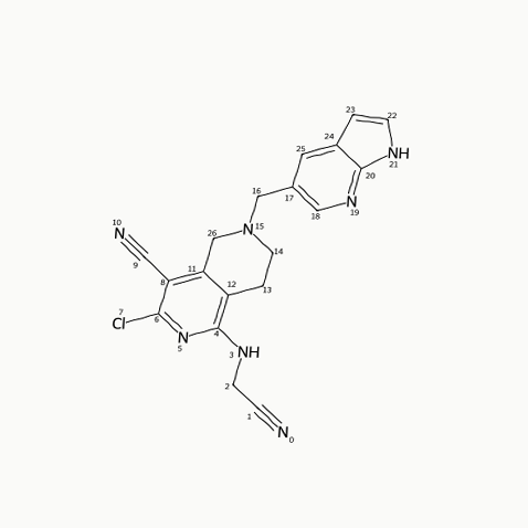 N#CCNc1nc(Cl)c(C#N)c2c1CCN(Cc1cnc3[nH]ccc3c1)C2